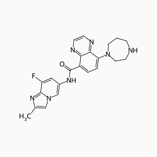 Cc1cn2cc(NC(=O)c3ccc(N4CCCNCC4)c4nccnc34)cc(F)c2n1